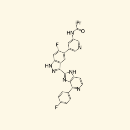 CC(C)C(=O)Nc1cncc(-c2cc3c(-c4nc5c(-c6ccc(F)cc6)nccc5[nH]4)n[nH]c3cc2F)c1